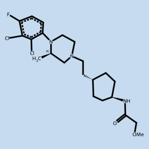 COCC(=O)N[C@H]1CC[C@H](CCN2CCN(c3ccc(F)c(Cl)c3Cl)[C@H](C)C2)CC1